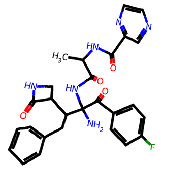 CC(NC(=O)c1cnccn1)C(=O)NC(N)(C(=O)c1ccc(F)cc1)C(Cc1ccccc1)C1CNC1=O